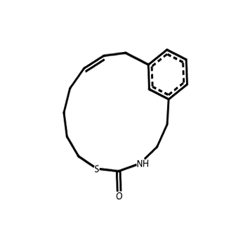 O=C1NCCc2cccc(c2)CC=CCCCCS1